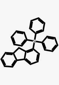 c1ccc([Si](c2ccccc2)(c2ccccc2)c2cccc3c2Cc2ccccc2-3)cc1